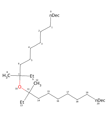 CCCCCCCCCCCCCCCCC(C)(CC)OC(C)(CC)CCCCCCCCCCCCCCCC